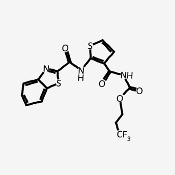 O=C(NC(=O)c1ccsc1NC(=O)c1nc2ccccc2s1)OCCC(F)(F)F